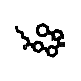 CCCCCC(=O)N1CCC(N2CCCC(Nc3nccc(N4CCCCCC4)n3)C2)CC1